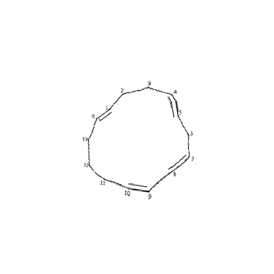 [C]1=C/CC/C=C/C/C=C/C=C\CCC/1